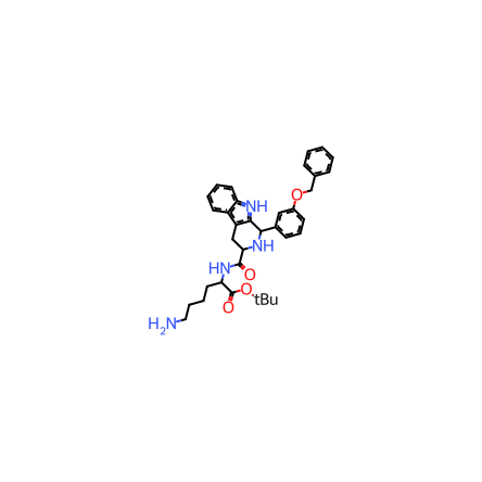 CC(C)(C)OC(=O)C(CCCCN)NC(=O)C1Cc2c([nH]c3ccccc23)C(c2cccc(OCc3ccccc3)c2)N1